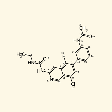 CCNC(=O)Nc1cc2c(F)c(-c3cccc(NC(C)=O)c3)cc(Cl)c2cn1